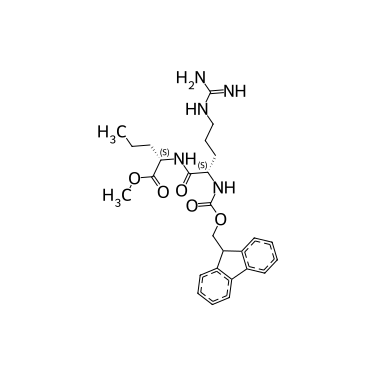 CCC[C@H](NC(=O)[C@H](CCCNC(=N)N)NC(=O)OCC1c2ccccc2-c2ccccc21)C(=O)OC